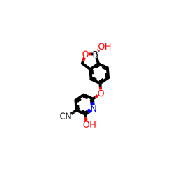 [C-]#[N+]c1ccc(Oc2ccc3c(c2)COB3O)nc1O